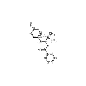 C[Si](C)(C)C(CC(=O)c1ccccc1)Sc1ccc(F)cc1